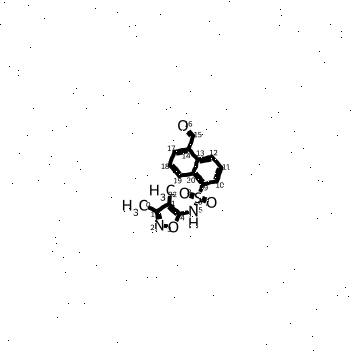 Cc1noc(NS(=O)(=O)c2cccc3c(C=O)cccc23)c1C